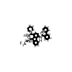 CCCC(c1ccc(NC(=O)c2ccccc2-c2ccccn2)c2c1C(C(=O)NCC(F)(F)F)c1ccccc1-2)N1CCCCC1